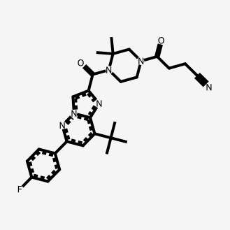 CC(C)(C)c1cc(-c2ccc(F)cc2)nn2cc(C(=O)N3CCN(C(=O)CCC#N)CC3(C)C)nc12